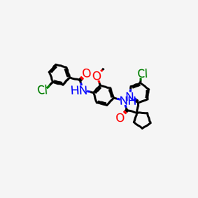 COc1cc(NC(=O)C2(c3ccc(Cl)cn3)CCCC2)ccc1NC(=O)c1cccc(Cl)c1